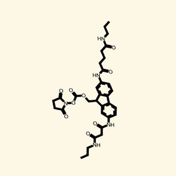 CCCNC(=O)CCCC(=O)Nc1ccc2c(c1)C(COC(=O)ON1C(=O)CCC1=O)c1cc(NC(=O)CC(=O)NCCC)ccc1-2